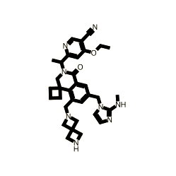 CCOc1cc(C(C)N2CC3(CCC3)c3c(CN4CC5(CNC5)C4)cc(Cn4ccnc4NC)cc3C2=O)ncc1C#N